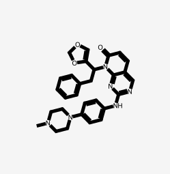 CN1CCN(c2ccc(Nc3ncc4ccc(=O)n(C(Cc5ccccc5)C5=COCO5)c4n3)cc2)CC1